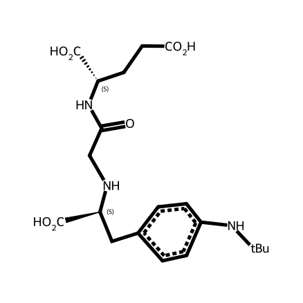 CC(C)(C)Nc1ccc(C[C@H](NCC(=O)N[C@@H](CCC(=O)O)C(=O)O)C(=O)O)cc1